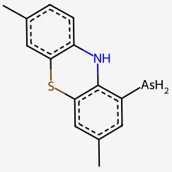 Cc1ccc2c(c1)Sc1cc(C)cc([AsH2])c1N2